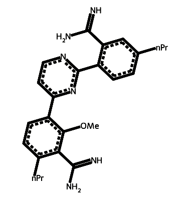 CCCc1ccc(-c2nccc(-c3ccc(CCC)c(C(=N)N)c3OC)n2)c(C(=N)N)c1